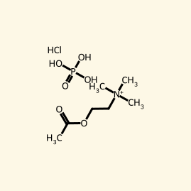 CC(=O)OCC[N+](C)(C)C.Cl.O=P(O)(O)O